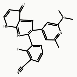 Cc1cc(-c2cc3c(=O)cc[nH]c3nc2-c2cccc(C#N)c2F)cc(N(C)C)n1